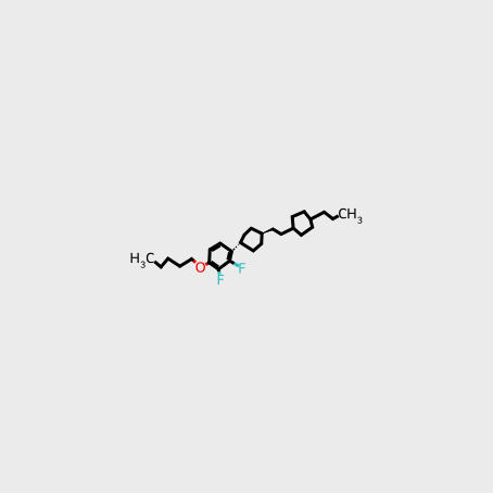 CCCCCOc1ccc([C@H]2CC[C@H](CCC3CCC(CCC)CC3)CC2)c(F)c1F